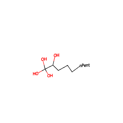 CCCCCCCCC(O)C(O)(O)O